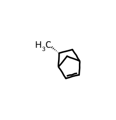 C[C@@H]1CC2C=CC1C2